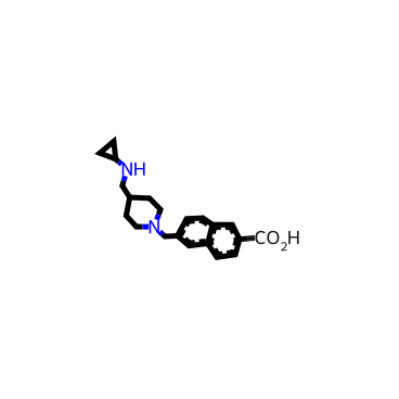 O=C(O)c1ccc2cc(CN3CCC(CNC4CC4)CC3)ccc2c1